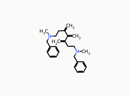 C=C(CCN(C)Cc1ccccc1)C(=C)C(=C)CCN(C)Cc1ccccc1